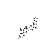 COc1cc(Nc2ncc(Cl)c(NCC3CCCO3)n2)ccc1N1CCN(I)CC1